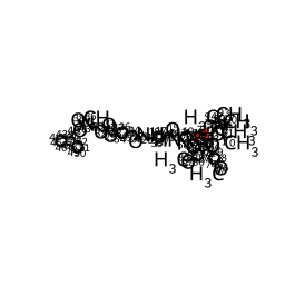 CCCOP(OC1C[C@H](n2ccc(NC(=O)c3ccc(CNC(=O)Cc4ccc(OC(=O)OCCN(C)C(=O)OCC5c6ccccc6-c6ccccc65)cc4)cc3)nc2=O)O[C@@H]1COC(c1ccccc1)(c1ccc(OC)cc1)c1ccc(OC)cc1)N(C(C)C)C(C)C